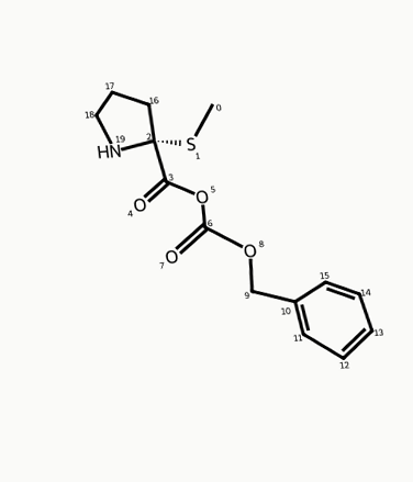 CS[C@@]1(C(=O)OC(=O)OCc2ccccc2)CCCN1